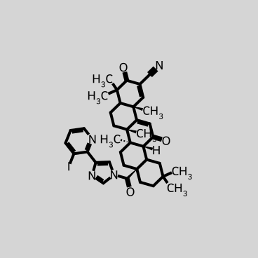 CC1(C)CC[C@]2(C(=O)n3cnc(-c4ncccc4I)c3)CC[C@]3(C)[C@H](C(=O)C=C4[C@@]5(C)C=C(C#N)C(=O)C(C)(C)C5CC[C@]43C)C2C1